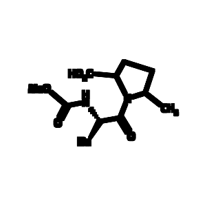 CC[C@H](C)[C@H](NC(=O)OC)C(=O)N1C(C)CCC1C(=O)O